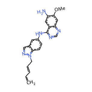 C=CC=CCn1ncc2cc(Nc3ncnc4cc(OC)c(N)cc34)ccc21